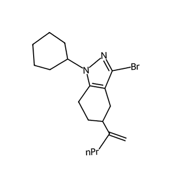 C=C(CCC)C1CCc2c(c(Br)nn2C2CCCCC2)C1